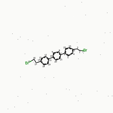 BrCCc1ccc(-c2ccc(-c3ccc(CCBr)cc3)cc2)cc1